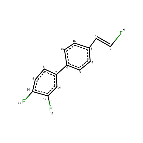 FC=Cc1ccc(-c2ccc(F)c(F)c2)cc1